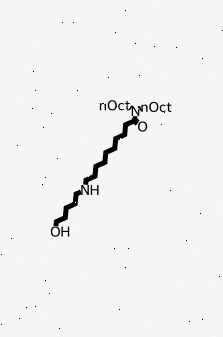 CCCCCCCCN(CCCCCCCC)C(=O)CCCCCCCCCNCCCCCO